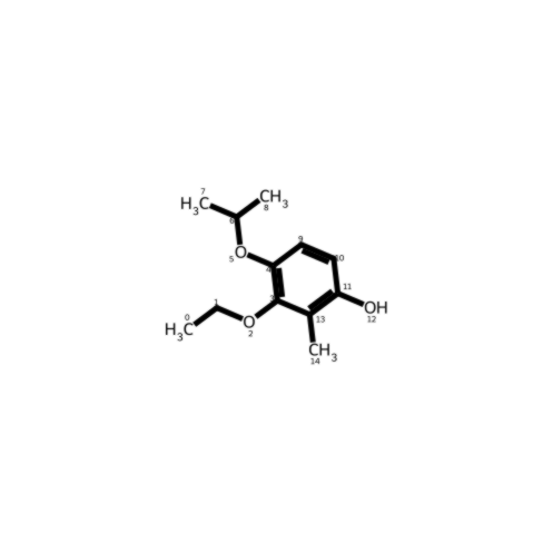 CCOc1c(OC(C)C)ccc(O)c1C